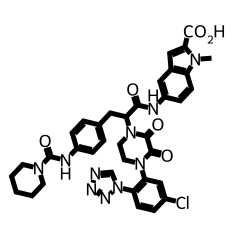 Cn1c(C(=O)O)cc2cc(NC(=O)C(Cc3ccc(NC(=O)N4CCCCC4)cc3)N3CCN(c4cc(Cl)ccc4-n4cnnn4)C(=O)C3=O)ccc21